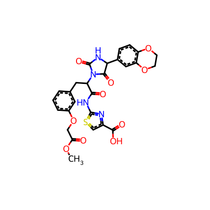 COC(=O)COc1cccc(CC(C(=O)Nc2nc(C(=O)O)cs2)N2C(=O)NC(c3ccc4c(c3)OCCO4)C2=O)c1